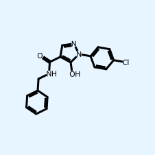 O=C(NCc1ccccc1)c1cnn(-c2ccc(Cl)cc2)c1O